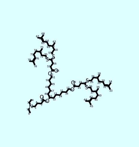 CCN(CC)CCCC(=O)OC(CCCCCCOC(=O)CCC(SCCC(C)CCC=C(C)C)SCCC(C)CCC=C(C)C)CCCCCCOC(=O)CCC(SCCC(C)CCC=C(C)C)SCCC(C)CCC=C(C)C